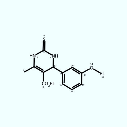 CCOC(=O)C1=C(C)NC(=S)NC1c1cccc(OCC)c1